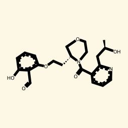 C[C@@H](O)Cc1ncccc1C(=O)N1CCOC[C@H]1CCOc1cccc(O)c1C=O